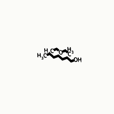 CCCCCCCO.CCOCC